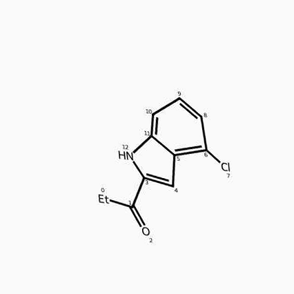 CCC(=O)c1cc2c(Cl)cccc2[nH]1